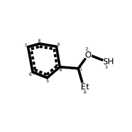 CCC(OS)c1ccccc1